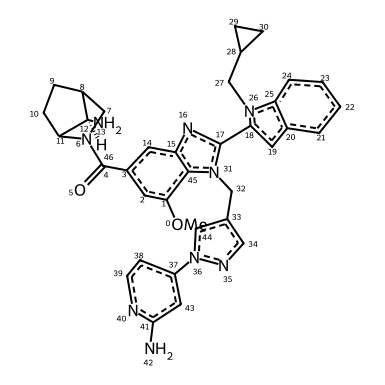 COc1cc(C(=O)N2CC3CCC2[C@@H]3N)cc2nc(-c3cc4ccccc4n3CC3CC3)n(Cc3cnn(-c4ccnc(N)c4)c3)c12